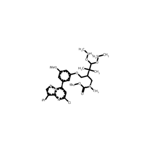 COc1cc(OCC(CN(C)C(=O)OC(C)(C)C)C(C)(C)C(O[SiH2]C)O[SiH2]C)cc(-c2cc(Cl)nc3c(C(C)C)cnn23)c1